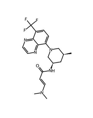 C[C@H]1C[C@@H](NC(=O)/C=C/N(C)C)CN(c2ccc(C(F)(F)F)c3nccnc23)C1